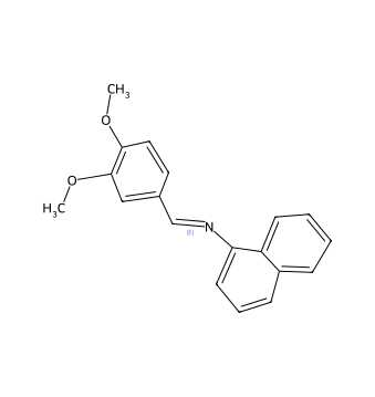 COc1ccc(/C=N/c2cccc3ccccc23)cc1OC